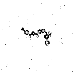 O=C(c1cnn(C(=O)N2CCC3(CCN(Cc4ccc(N5CCOCC5)cc4C(F)(F)F)C3)C2)c1)N1CCN(C2CC2)CC1